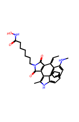 CC=C(C1=C(c2c(C)[nH]c3ccccc23)C(=O)N(CCCCCCC(=O)NO)C1=O)c1ccccc1NC